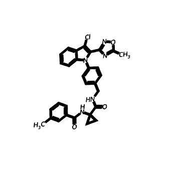 Cc1cccc(C(=O)NC2(C(=O)NCc3ccc(-n4c(-c5noc(C)n5)c(Cl)c5ccccc54)cc3)CC2)c1